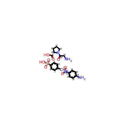 Cc1ccc(S(=O)(=O)O)cc1.NCC(=O)N1CCC[C@H]1C(=O)O.Nc1ccc([N+](=O)[O-])cc1